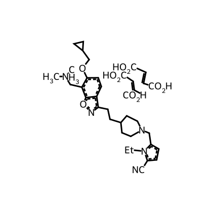 CCn1c(C#N)ccc1CN1CCC(CCc2noc3c(CN(C)C)c(OCC4CC4)ccc23)CC1.O=C(O)/C=C/C(=O)O.O=C(O)/C=C/C(=O)O